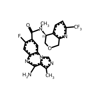 Cc1ncn2c1c(N)nc1cc(F)c(C(=O)N(C)[C@@H]3COCc4nc(C(F)(F)F)ccc43)cc12